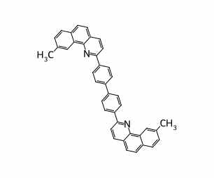 Cc1ccc2ccc3ccc(-c4ccc(-c5ccc(-c6ccc7ccc8ccc(C)cc8c7n6)cc5)cc4)nc3c2c1